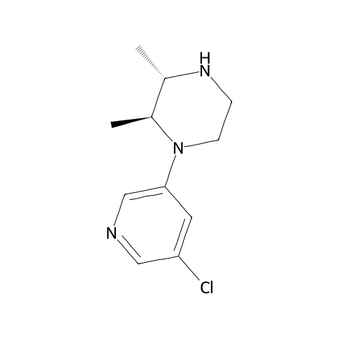 C[C@@H]1NCCN(c2cncc(Cl)c2)[C@H]1C